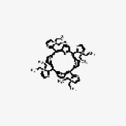 CC[N+]1(CC)C=CN=C1C1=C2C=CC(=N2)C(C2=NC=C[N+]2(CC)CC)=C2C=CC(=N2)C(C2=NC=C[N+]2(CC)CC)=C2C=CC(=N2)C(C2=NC=C[N+]2(CC)CC)=C2C=CC1=N2